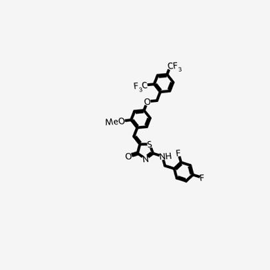 COc1cc(OCc2ccc(C(F)(F)F)cc2C(F)(F)F)ccc1C=C1SC(NCc2ccc(F)cc2F)=NC1=O